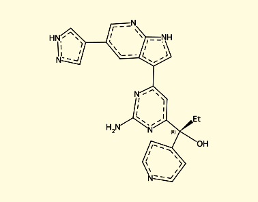 CC[C@@](O)(c1ccncc1)c1cc(-c2c[nH]c3ncc(-c4cn[nH]c4)cc23)nc(N)n1